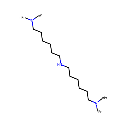 CCCN(CCC)CCCCCCNCCCCCCN(CCC)CCC